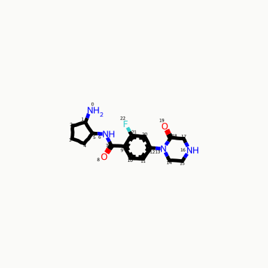 NC1CCCC1NC(=O)c1ccc(N2CCNCC2=O)cc1F